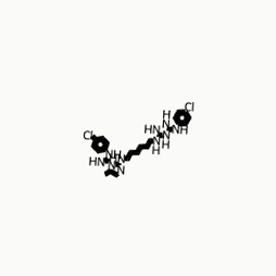 CC1CN=C(NCCCCCCNC(=N)NC(=N)Nc2ccc(Cl)cc2)N1C(=N)Nc1ccc(Cl)cc1